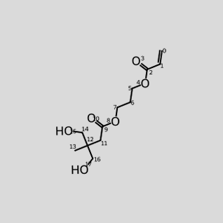 C=CC(=O)OCCCOC(=O)CC(C)(CO)CO